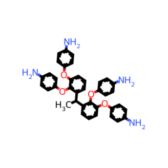 CC(c1cccc(Oc2ccc(N)cc2)c1Oc1ccc(N)cc1)c1cccc(Oc2ccc(N)cc2)c1Oc1ccc(N)cc1